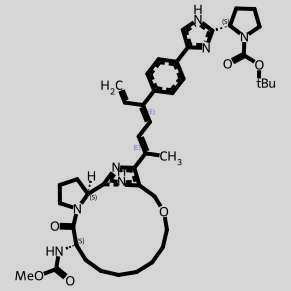 C=C/C(=C\C=C(/C)c1nc2[nH]c1COCCCCCCC[C@H](NC(=O)OC)C(=O)N1CCC[C@@H]21)c1ccc(-c2c[nH]c([C@@H]3CCCN3C(=O)OC(C)(C)C)n2)cc1